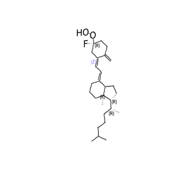 C=C1CC[C@](F)(OO)C/C1=C/C=C1CCC[C@@]2(C)C1CC[C@@H]2[C@H](C)CCCC(C)C